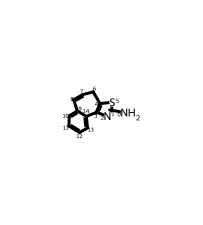 Nc1nc2c(s1)CC=Cc1ccccc1-2